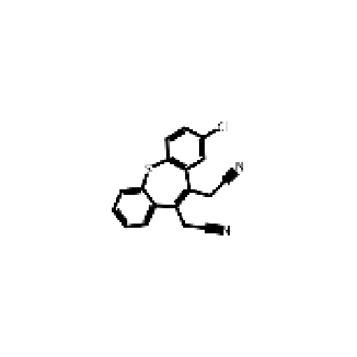 N#CCC1=C(CC#N)c2cc(Cl)ccc2Sc2ccccc21